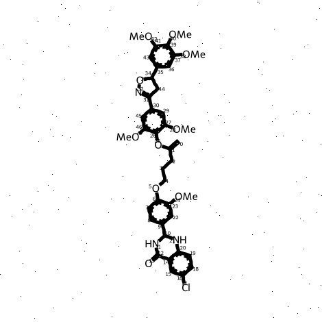 C=C(CCCOc1ccc(C2NC(=O)c3cc(Cl)ccc3N2)cc1OC)Oc1c(OC)cc(C2=NOC(c3cc(OC)c(OC)c(OC)c3)C2)cc1OC